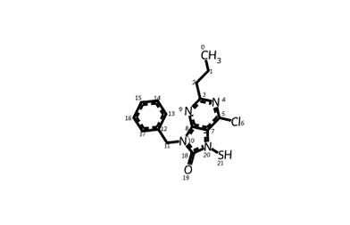 CCCc1nc(Cl)c2c(n1)n(Cc1ccccc1)c(=O)n2S